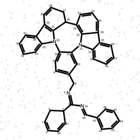 C1=CCC(C(=N/Cc2ccc3c(c2)-n2c4ccccc4c4cccc(c42)C2CC=Cc4c2n-3c2ccccc42)/N=C/c2ccccc2)C=C1